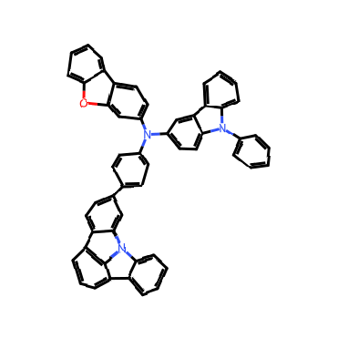 c1ccc(-n2c3ccccc3c3cc(N(c4ccc(-c5ccc6c7cccc8c9ccccc9n(c6c5)c87)cc4)c4ccc5c(c4)oc4ccccc45)ccc32)cc1